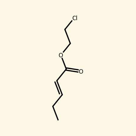 CCC=CC(=O)OCCCl